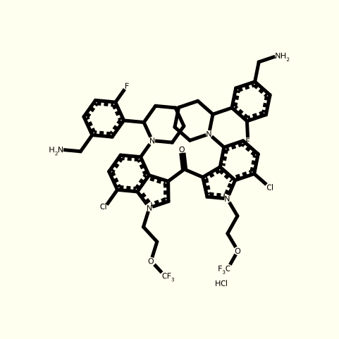 Cl.NCc1ccc(F)c(C2CCCCN2c2ccc(Cl)c3c2c(C(=O)c2cn(CCOC(F)(F)F)c4c(Cl)ccc(N5CCCCC5c5cc(CN)ccc5F)c24)cn3CCOC(F)(F)F)c1